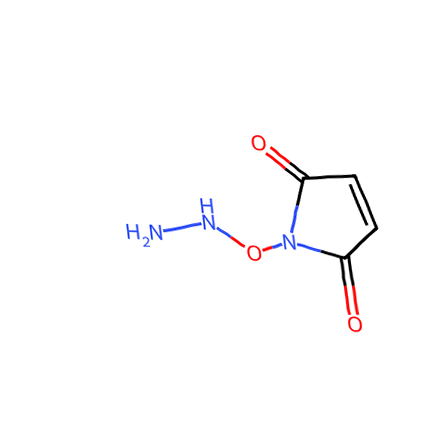 NNON1C(=O)C=CC1=O